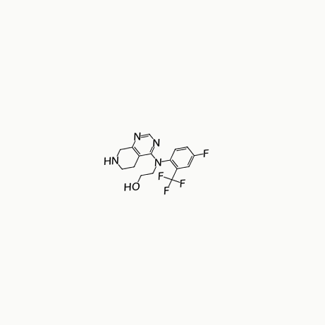 OCCN(c1ccc(F)cc1C(F)(F)F)c1ncnc2c1CCNC2